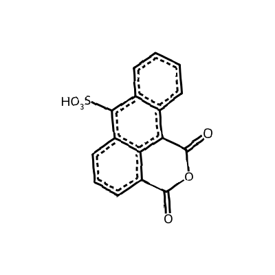 O=C1OC(=O)c2c3ccccc3c(S(=O)(=O)O)c3cccc1c23